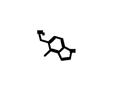 Cc1c(CN)ccc2[nH]ccc12